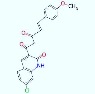 COc1ccc(C=CC(=O)CC(=O)c2cc3ccc(Cl)cc3[nH]c2=O)cc1